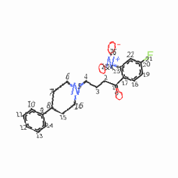 O=C(CCCN1CCC(c2ccccc2)CC1)c1ccc(F)cc1[N+](=O)[O-]